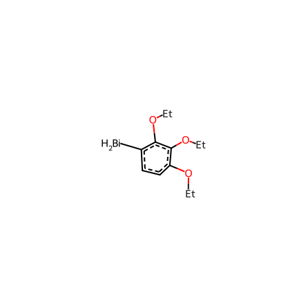 CCOc1cc[c]([BiH2])c(OCC)c1OCC